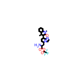 Cc1c(-c2ccc(C[C@H](N)C(=O)OC(=O)C(F)(F)F)n3ccnc23)c(=O)n(C)c2ccccc12